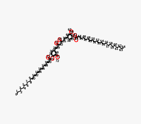 CCCCCCCCCC=CC=CC=CC=CC=CC=CC(=O)Oc1ccc(C=CC(=O)CC(=O)C=Cc2ccc(OC(=O)C=CC=CC=CC=CC=CC=CCCCCCCCCC)c(OC)c2)cc1OC